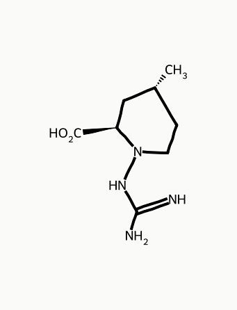 C[C@@H]1CCN(NC(=N)N)[C@@H](C(=O)O)C1